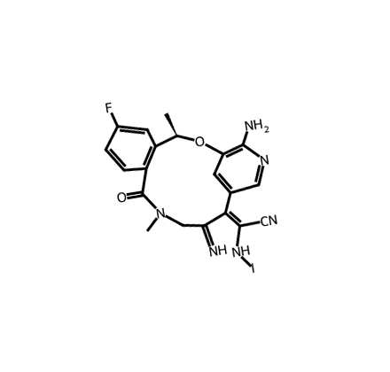 C[C@H]1Oc2cc(cnc2N)/C(=C(\C#N)NI)C(=N)CN(C)C(=O)c2ccc(F)cc21